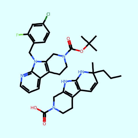 CC(C)(C)OC(=O)N1CCc2c(n(Cc3ccc(Cl)cc3F)c3ncccc23)C1.CCCC1(C)C=Cc2c([nH]c3c2CCN(C(=O)O)C3)N1